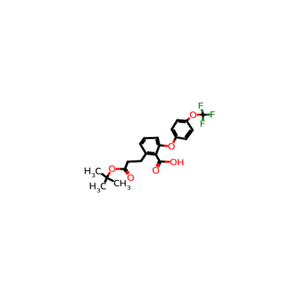 CC(C)(C)OC(=O)CCc1cccc(Oc2ccc(OC(F)(F)F)cc2)c1C(=O)O